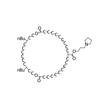 CCCCC1CCCCCCC(CCCC)CCOC(=O)CCCCCCCCCC(C(=O)OCCCN2CCCC2)CCCCCCCCCC(=O)OCC1